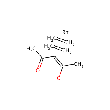 C=C.C=C.CC(=O)/C=C(/C)[O-].[Rh]